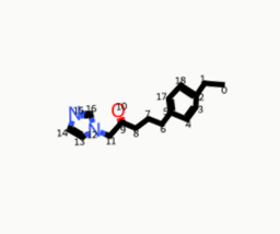 CCc1ccc(CCCC(=O)Cn2ccnc2)cc1